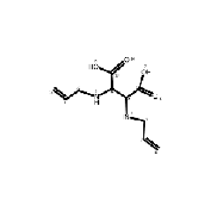 C=CCNC(C(=O)O)C(NCC=C)C(=O)O